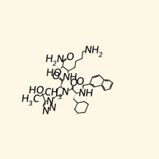 CC(C)(O)c1cnnn1[C@H]1C[C@@H](C(=O)NC(CCCCN)C(O)C(N)=O)N(C(=O)[C@@H](CC2CCCCC2)NC(=O)c2ccc3ccccc3c2)C1